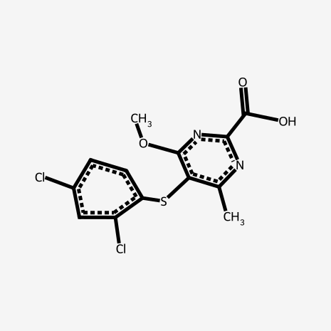 COc1nc(C(=O)O)nc(C)c1Sc1ccc(Cl)cc1Cl